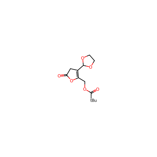 CC(C)(C)C(=O)OCC1=C(C2OCCO2)CC(=O)O1